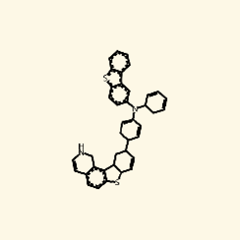 C1=CCC(N(C2=CCC(C3C=CC4Sc5ccc6c(c5C4C3)CNC=C6)C=C2)c2ccc3sc4ccccc4c3c2)C=C1